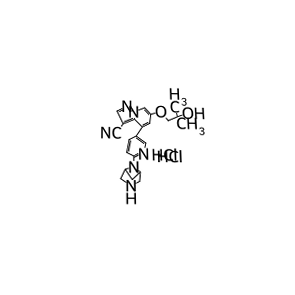 CC(C)(O)COc1cc(-c2ccc(N3C4CNCC3C4)nc2)c2c(C#N)cnn2c1.Cl.Cl